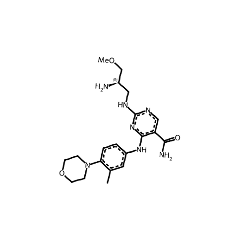 COC[C@H](N)CNc1ncc(C(N)=O)c(Nc2ccc(N3CCOCC3)c(C)c2)n1